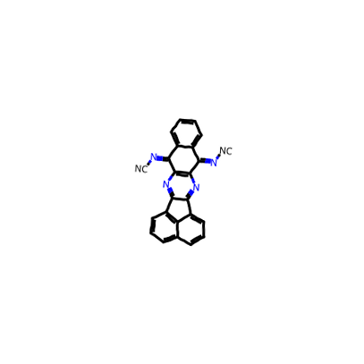 [C-]#[N+]/N=C1\c2ccccc2/C(=N/C#N)c2nc3c(nc21)-c1cccc2cccc-3c12